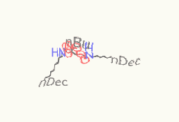 CCCCCCCCCCCCCCCCCCNC(=O)OC(COC(=O)NCCCCCCCCCCCCCCCC)C(=O)OCCCC